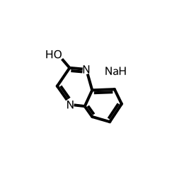 Oc1cnc2ccccc2n1.[NaH]